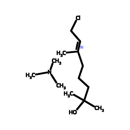 C/C(=C\CCl)CCCC(C)(C)O.CN(C)C